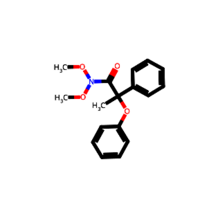 CON(OC)C(=O)C(C)(Oc1ccccc1)c1ccccc1